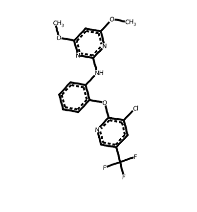 COc1cc(OC)nc(Nc2ccccc2Oc2ncc(C(F)(F)F)cc2Cl)n1